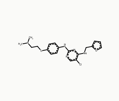 CN(C)CCOc1ccc(Nc2ncc(Cl)c(NCc3ccco3)n2)cc1